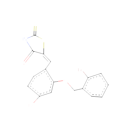 O=C1NC(=S)SC1=Cc1ccc(O)cc1OCc1ccccc1Br